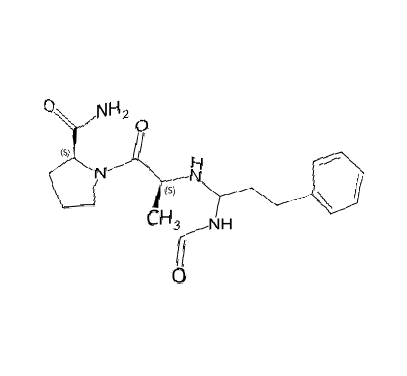 C[C@H](NC(CCc1ccccc1)NC=O)C(=O)N1CCC[C@H]1C(N)=O